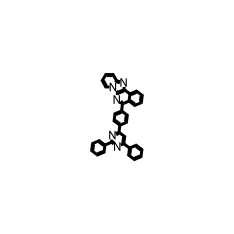 c1ccc(-c2cc(-c3ccc(-c4nc5c(nc6ccccn65)c5ccccc45)cc3)nc(-c3ccccc3)n2)cc1